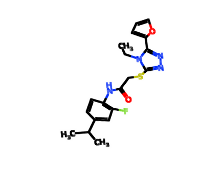 CCn1c(SCC(=O)Nc2ccc(C(C)C)cc2F)nnc1-c1ccco1